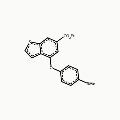 CCOC(=O)c1cc(Oc2ccc(SC)cc2)c2ccsc2c1